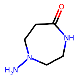 NN1CCNC(=O)CC1